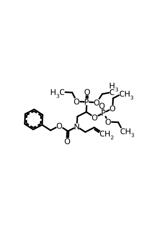 C=CCN(CC(OP(=O)(OCC)OCC)P(=O)(OCC)OCC)C(=O)OCc1ccccc1